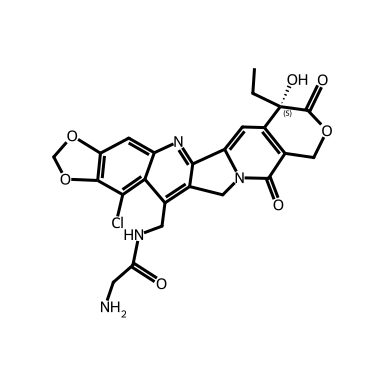 CC[C@@]1(O)C(=O)OCc2c1cc1n(c2=O)Cc2c-1nc1cc3c(c(Cl)c1c2CNC(=O)CN)OCO3